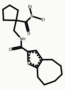 CCN(CC)C(=O)C1(CNC(=O)c2cc3c(s2)CCCCCC3)CCCC1